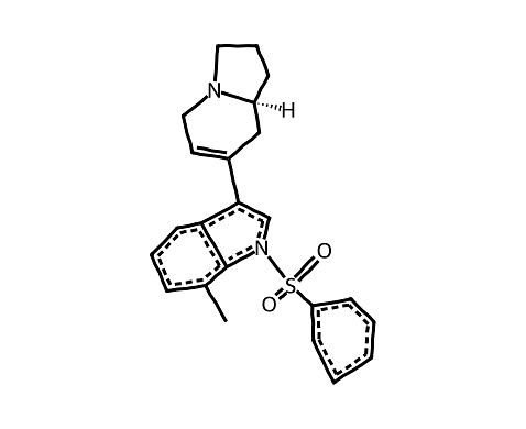 Cc1cccc2c(C3=CCN4CCC[C@H]4C3)cn(S(=O)(=O)c3ccccc3)c12